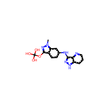 Cn1nc(OC(O)(O)O)c2ccc(Nc3n[nH]c4cccnc34)cc21